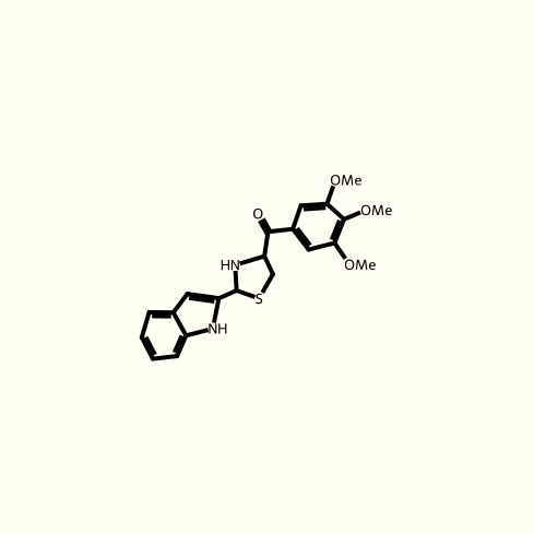 COc1cc(C(=O)C2CSC(c3cc4ccccc4[nH]3)N2)cc(OC)c1OC